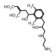 Cc1ccc(CC(O)CNCCN)c(C)c1C(O)C/C(=C/C(=O)O)C(=O)O